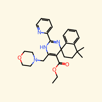 CCOC(=O)C1=C(CN2CCOCC2)NC(c2ccccn2)=NC12CCC(C)(C)c1ccccc12